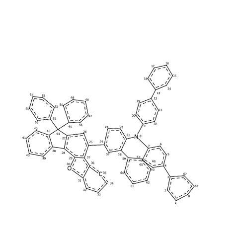 c1ccc(-c2ccc(N(c3ccc(-c4ccccc4)cc3)c3ccc(-c4cc5c(c6oc7ccccc7c46)-c4ccccc4C5(c4ccccc4)c4ccccc4)cc3-c3ccccc3)cc2)cc1